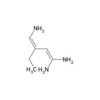 CC/C(C=C(N)N)=C/N